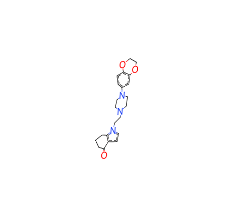 O=C1CCCc2c1ccn2CCN1CCN(c2ccc3c(c2)OCCO3)CC1